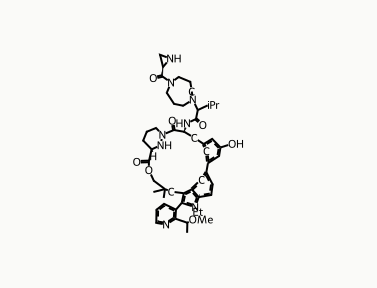 CCn1c(-c2cccnc2[C@H](C)OC)c2c3cc(ccc31)-c1cc(O)cc(c1)C[C@H](NC(=O)C(C(C)C)N1CCCN(C(=O)[C@H]3CN3)CCC1)C(=O)N1CCC[C@H](N1)C(=O)OCC(C)(C)C2